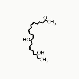 CCC(O)/C=C/C=C\CC(O)/C=C\C=C/C/C=C\CCCC(C)=O